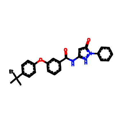 CCC(C)(C)c1ccc(Oc2cccc(C(=O)Nc3cc(=O)n(-c4ccccc4)[nH]3)c2)cc1